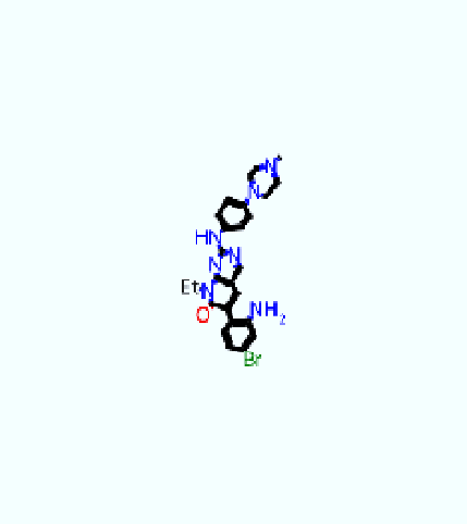 CCn1c(=O)c(-c2ccc(Br)cc2N)cc2cnc(Nc3ccc(N4CCN(C)CC4)cc3)nc21